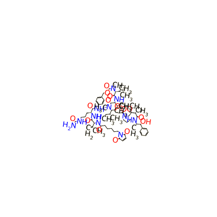 C=C(C)[C@H](NC(=O)CCCCCN1C(=O)C=CC1=O)C(=O)N[C@@H](CCCNC(N)=O)C(=O)Nc1ccc(COC(=O)N(C)[C@H](C(=O)N[C@H](C(=O)N(C)[C@@H]([C@@H](C)CC)[C@@H](CC(=O)N2CCC[C@H]2[C@H](OC)[C@@H](C)C(=O)N[C@H](C)[C@@H](O)c2ccccc2)OC)C(C)C)C(C)C)cc1